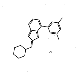 Cc1cc(C)cc(-c2cccc3c2=CC(=CC2CCCCC2)[C]=3)c1.[Zr]